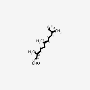 C=CC(=C)CC/C=C(\C)CC/C=C(\C)COC=O